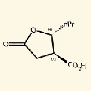 CCC[C@H]1OC(=O)C[C@@H]1C(=O)O